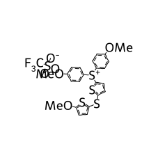 COc1ccc([S+](c2ccc(OC)cc2)c2ccc(Sc3ccc(OC)s3)s2)cc1.O=S(=O)([O-])C(F)(F)F